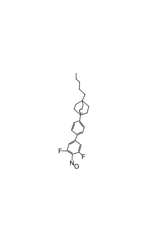 CCCCCC12CCC(c3ccc(-c4cc(F)c(N=O)c(F)c4)cc3)(CC1)CC2